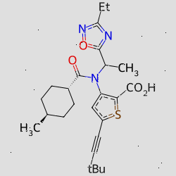 CCc1noc(C(C)N(c2cc(C#CC(C)(C)C)sc2C(=O)O)C(=O)[C@H]2CC[C@H](C)CC2)n1